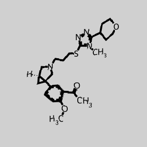 COc1ccc(C23C[C@H]2CN(CCCSc2nnc(C4CCOCC4)n2C)C3)cc1C(C)=O